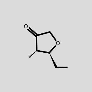 CC[C@@H]1OCC(=O)[C@H]1C